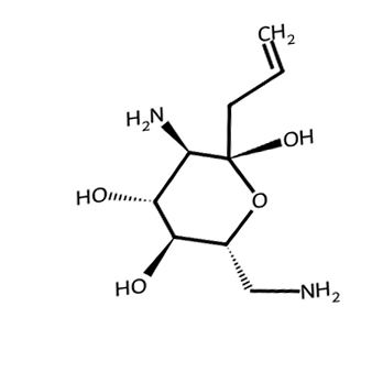 C=CC[C@]1(O)O[C@H](CN)[C@@H](O)[C@H](O)[C@H]1N